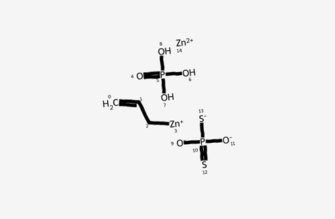 C=C[CH2][Zn+].O=P(O)(O)O.[O-]P([O-])(=S)[S-].[Zn+2]